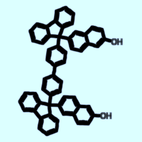 Oc1ccc2cc(C3(c4ccc(-c5ccc(C6(c7ccc8cc(O)ccc8c7)c7ccccc7-c7ccccc76)cc5)cc4)c4ccccc4-c4ccccc43)ccc2c1